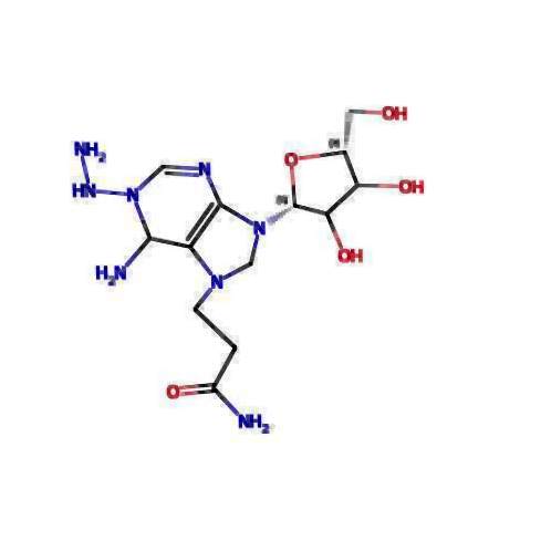 NNN1C=NC2=C(C1N)N(CCC(N)=O)CN2[C@@H]1O[C@H](CO)C(O)C1O